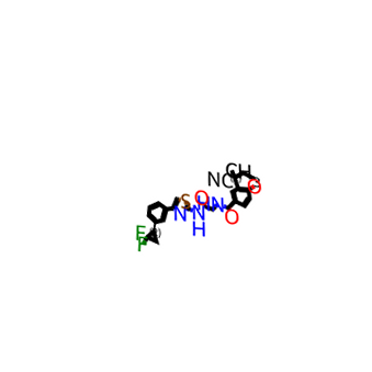 C[C@@]1(C#N)CCOc2ccc(C(=O)NCC(=O)Nc3nc(-c4cccc([C@H]5CC5(F)F)c4)cs3)cc21